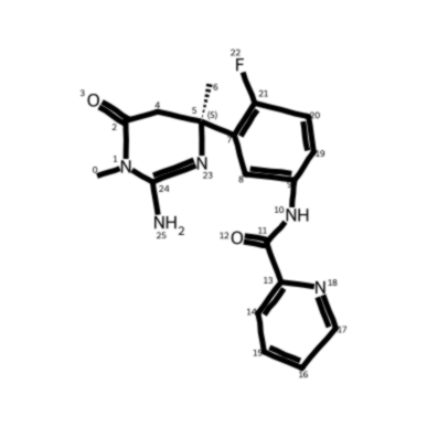 CN1C(=O)C[C@@](C)(c2cc(NC(=O)c3ccccn3)ccc2F)N=C1N